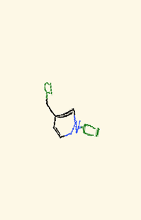 ClCc1ccn(Cl)c1